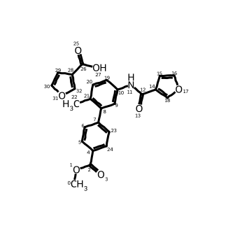 COC(=O)c1ccc(-c2cc(NC(=O)c3ccoc3)ccc2C)cc1.O=C(O)c1ccoc1